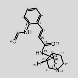 O=CNc1ccccc1C=CC(=O)N[C@H]1CN2CCC1CC2